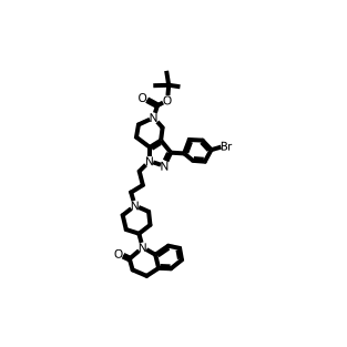 CC(C)(C)OC(=O)N1CCc2c(c(-c3ccc(Br)cc3)nn2CCCN2CCC(N3C(=O)CCc4ccccc43)CC2)C1